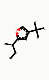 CC[C@@H](C)c1cc(C(C)(C)C)co1